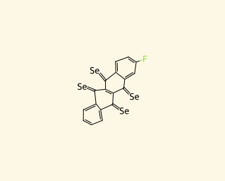 Fc1ccc2c(=[Se])c3c(=[Se])c4ccccc4c(=[Se])c=3c(=[Se])c2c1